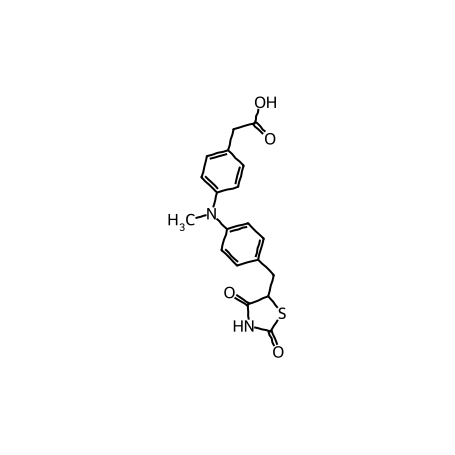 CN(c1ccc(CC(=O)O)cc1)c1ccc(CC2SC(=O)NC2=O)cc1